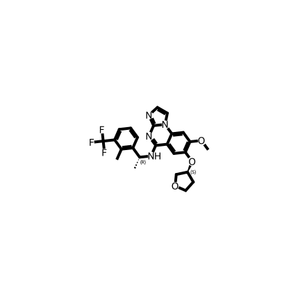 COc1cc2c(cc1O[C@H]1CCOC1)c(N[C@H](C)c1cccc(C(F)(F)F)c1C)nc1nccn12